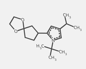 CC(C)c1cc(C2CCC3(C2)OCCO3)n(C(C)(C)C)c1